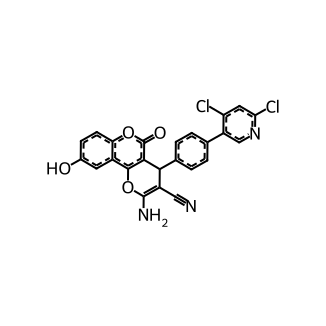 N#CC1=C(N)Oc2c(c(=O)oc3ccc(O)cc23)C1c1ccc(-c2cnc(Cl)cc2Cl)cc1